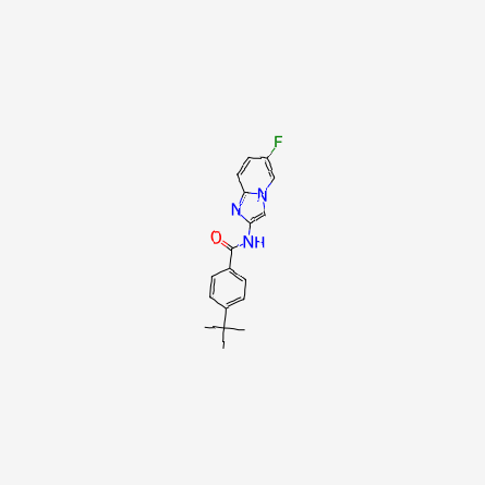 CC(C)(C)c1ccc(C(=O)Nc2cn3cc(F)ccc3n2)cc1